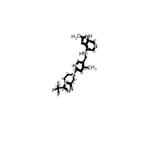 Cc1cc2c(NCc3cnc(N4CCn5c(nnc5C(F)(F)F)C4)cc3C)cncc2[nH]1